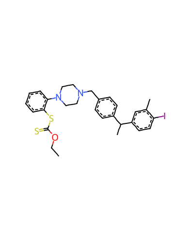 CCOC(=S)Sc1ccccc1N1CCN(Cc2ccc(C(C)c3ccc(I)c(C)c3)cc2)CC1